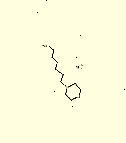 CCCCCCCCCCCCCCN1CCOCC1.I.N